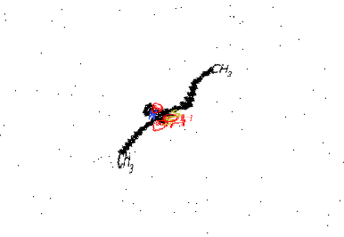 CCCCCCCCCCCCCCCCCCC(C(O)=S)C(CCCCCCCCCCCCCCCCCC)(C(O)=S)c1nc2ccccc2o1